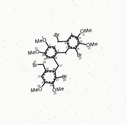 COc1cc(Cc2c(CBr)cc(OC)c(OC)c2Br)c(Cc2c(CBr)cc(OC)c(OC)c2Br)cc1OC